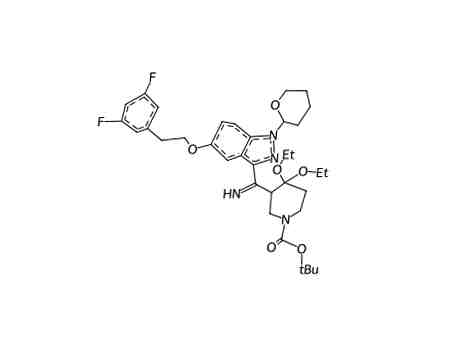 CCOC1(OCC)CCN(C(=O)OC(C)(C)C)CC1C(=N)c1nn(C2CCCCO2)c2ccc(OCCc3cc(F)cc(F)c3)cc12